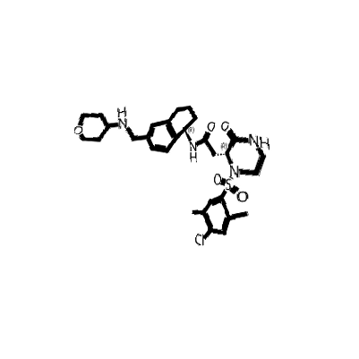 Cc1cc(S(=O)(=O)N2CCNC(=O)[C@H]2CC(=O)N[C@@H]2CCCc3cc(CNC4CCOCC4)ccc32)c(C)cc1Cl